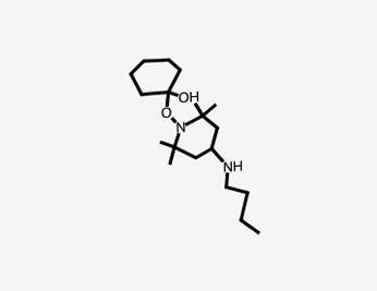 CCCCNC1CC(C)(C)N(OC2(O)CCCCC2)C(C)(C)C1